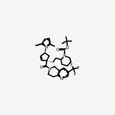 Cc1ccc(C)n1[C@@H]1C=C[C@](CCC2CCCCN2C(=O)OC(C)(C)C)(C(=O)N2CCc3ncc(C(F)(F)F)cc3C2)C1